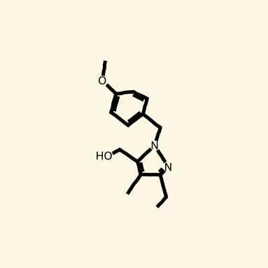 CCc1nn(Cc2ccc(OC)cc2)c(CO)c1C